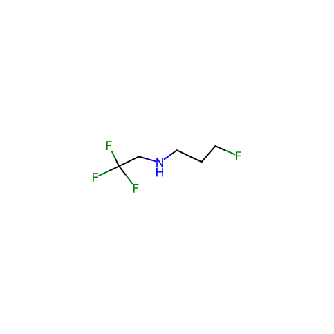 FCCCNCC(F)(F)F